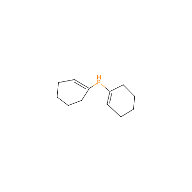 C1=C(PC2=CCCCC2)CCCC1